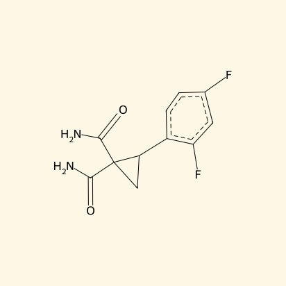 NC(=O)C1(C(N)=O)CC1c1ccc(F)cc1F